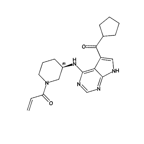 C=CC(=O)N1CCC[C@@H](Nc2ncnc3[nH]cc(C(=O)C4CCCC4)c23)C1